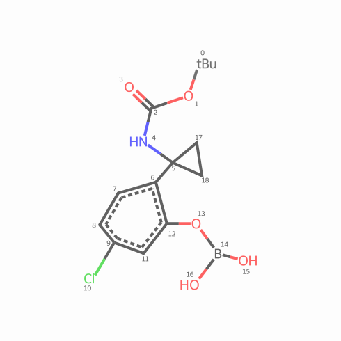 CC(C)(C)OC(=O)NC1(c2ccc(Cl)cc2OB(O)O)CC1